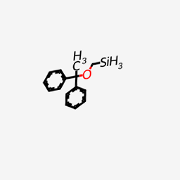 CC(OC[SiH3])(c1ccccc1)c1ccccc1